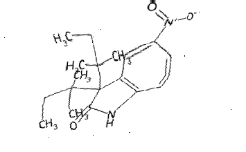 CCC(C)(C)C1(C(C)(C)CC)C(=O)Nc2ccc([N+](=O)[O-])cc21